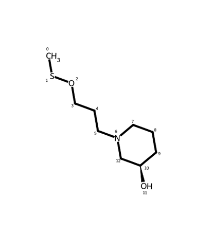 CSOCCCN1CCC[C@@H](O)C1